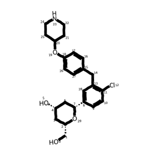 OC[C@@H]1C[C@H](O)C[C@H](c2ccc(Cl)c(Cc3ccc(OC4CCNCC4)cc3)c2)O1